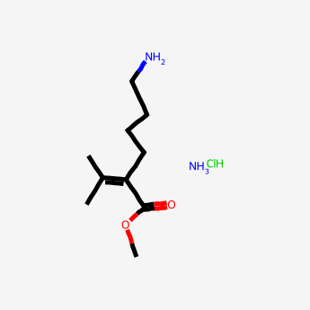 COC(=O)C(CCCCN)=C(C)C.Cl.N